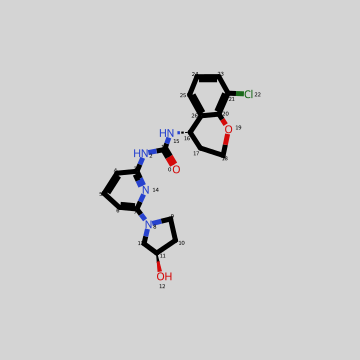 O=C(Nc1cccc(N2CC[C@@H](O)C2)n1)N[C@H]1CCOc2c(Cl)cccc21